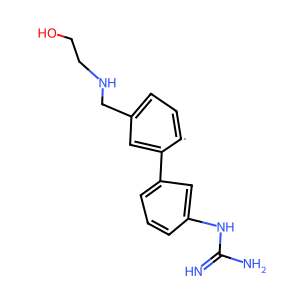 N=C(N)Nc1cccc(-c2[c]ccc(CNCCO)c2)c1